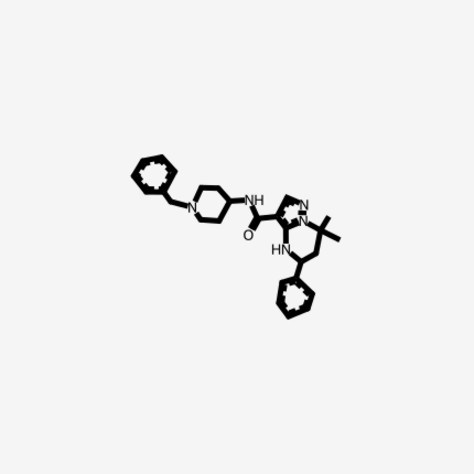 CC1(C)CC(c2ccccc2)Nc2c(C(=O)NC3CCN(Cc4ccccc4)CC3)cnn21